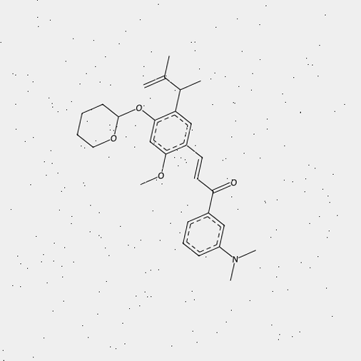 C=C(C)C(C)c1cc(/C=C/C(=O)c2cccc(N(C)C)c2)c(OC)cc1OC1CCCCO1